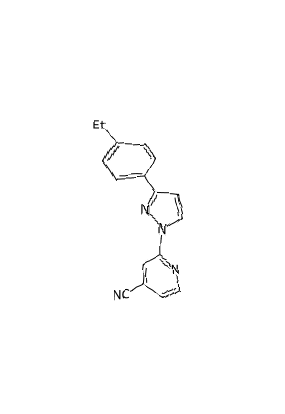 CCc1ccc(-c2ccn(-c3cc(C#N)ccn3)n2)cc1